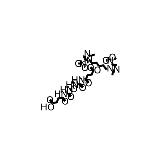 Cc1ncc([N+](=O)[O-])n1CCC(CCn1c([N+](=O)[O-])cnc1C)OC(=O)CCC(=O)NC(=O)NONC(=O)NC(=O)CCC(=O)O